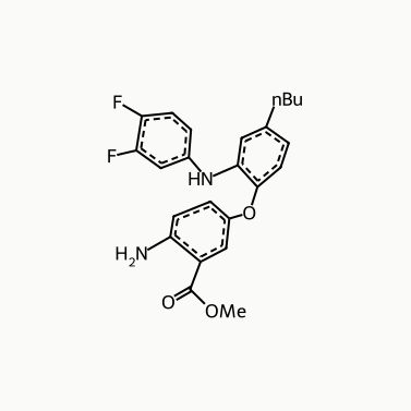 CCCCc1ccc(Oc2ccc(N)c(C(=O)OC)c2)c(Nc2ccc(F)c(F)c2)c1